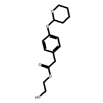 O=C(Cc1ccc(OC2CCCCO2)cc1)OCCO